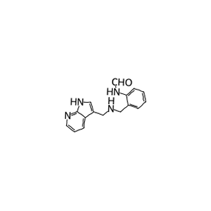 O=CNc1ccccc1CNCc1c[nH]c2ncccc12